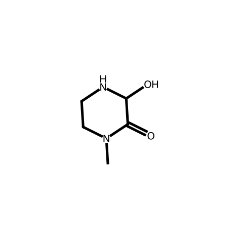 CN1CCNC(O)C1=O